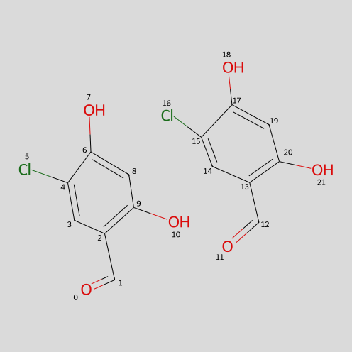 O=Cc1cc(Cl)c(O)cc1O.O=Cc1cc(Cl)c(O)cc1O